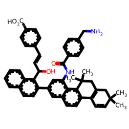 CC1(C)C=CC2=C(C1)CC(C)(C)c1c2ccc2cc(-c3ccc4ccccc4c3C(O)C=Cc3ccc(C(=O)O)cc3)cc(NC(=O)c3ccc(CN)cc3)c12